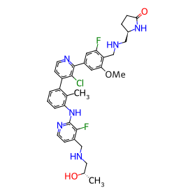 COc1cc(-c2nccc(-c3cccc(Nc4nccc(CNC[C@H](C)O)c4F)c3C)c2Cl)cc(F)c1CNC[C@H]1CCC(=O)N1